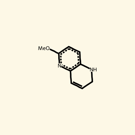 COc1ccc2c(n1)C=CCN2